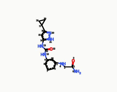 NC(=O)CNc1cccc(NC(=O)Nc2cc(C3CC3)n[nH]2)c1